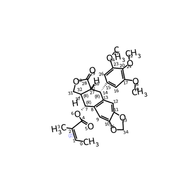 C/C=C(/C)C(=O)O[C@H]1c2cc3c(cc2[C@@H](c2cc(OC)c(OC)c(OC)c2)[C@H]2C(=O)OC[C@@H]21)OCO3